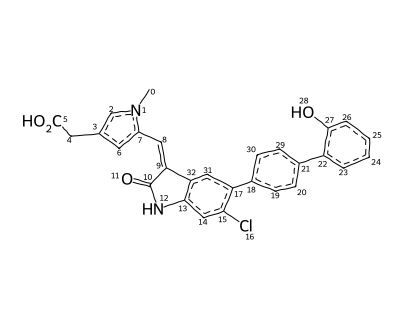 Cn1cc(CC(=O)O)cc1C=C1C(=O)Nc2cc(Cl)c(-c3ccc(-c4ccccc4O)cc3)cc21